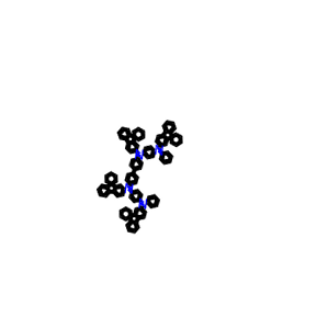 c1ccc(N(c2ccc(N(c3ccc(-c4ccc(N(c5ccc(N(c6ccccc6)c6ccc7c(c6)C6(CCCCC6)c6ccccc6-7)cc5)c5ccc6c(c5)C5(CCCCC5)c5ccccc5-6)cc4)cc3)c3ccc4c(c3)C3(CCCCC3)c3ccccc3-4)cc2)c2ccc3c(c2)C2(CCCCC2)c2ccccc2-3)cc1